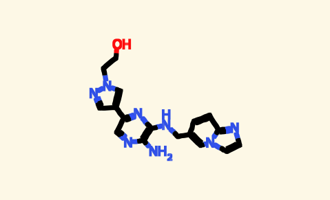 Nc1ncc(-c2cnn(CCO)c2)nc1NCc1ccc2nccn2c1